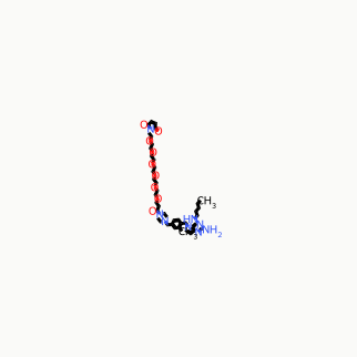 CCCCCNc1nc(N)nc2ccn(Cc3ccc(CN4CCN(C(=O)CCOCCOCCOCCOCCOCCOCCN5C(=O)C=CC5=O)CC4)cc3C)c12